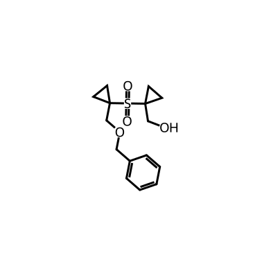 O=S(=O)(C1(CO)CC1)C1(COCc2ccccc2)CC1